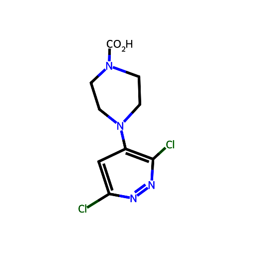 O=C(O)N1CCN(c2cc(Cl)nnc2Cl)CC1